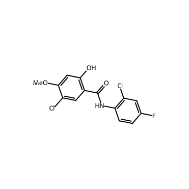 COc1cc(O)c(C(=O)Nc2ccc(F)cc2Cl)cc1Cl